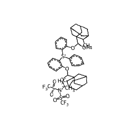 CC(=O)OC(Oc1ccccc1[S+](c1ccccc1)c1ccccc1OC(OC(C)=[N+](S(=O)(=O)C(F)(F)F)S(=O)(=O)C(F)(F)F)C12CC3CC(CC(C3)C1C)C2)C12CC3CC(CC(C3)C1C)C2